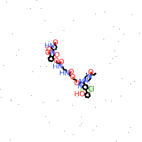 C=CC(=O)N1C[C@H](C)N(c2nc(OCCOCC(=O)NCCCNC(=O)COc3cccc4c3C(=O)N(C3CCC(=O)NC3=O)C4=O)nc3c(F)c(-c4c(O)cccc4F)c(Cl)cc23)C[C@H]1C